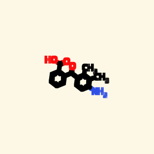 Cc1c(N)ccc(C(=O)c2ccccc2C(=O)O)c1C